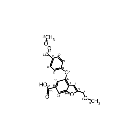 COCc1cc2c(Oc3ccc(SOOC)cc3)cc(C(=O)O)cc2o1